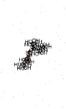 CC1(C)C[C@H](O[C@@H]2O[C@H](CO)[C@@H](O)[C@H](O)[C@H]2O)[C@@]23[C@H](O)C[C@]4(C)[C@@](CC[C@@H]5[C@@]6(C)CC[C@H](O[C@@H]7OC[C@H](O[C@@H]8O[C@H](CO)[C@@H](O)[C@H](O)[C@H]8O[C@@H]8OC[C@@H](O)[C@H](O)[C@H]8O)[C@H](O)[C@H]7O[C@@H]7O[C@H](CO)[C@@H](O)[C@H](O)[C@H]7O)C(C)(C)[C@@H]6CC[C@]54C)(O[C@@H]2O)[C@@H]3C1